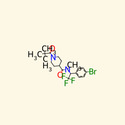 CN(C(=O)C1CCN(C(=O)C(C)(C)C)CC1)[C@@H](c1ccc(Br)cc1)C(F)(F)F